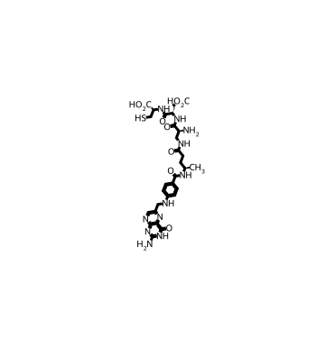 C[C@H](CCC(=O)NC[C@H](N)C(=O)N[C@@H](CC(=O)O)C(=O)N[C@@H](CS)C(=O)O)NC(=O)c1ccc(NCc2cnc3nc(N)[nH]c(=O)c3n2)cc1